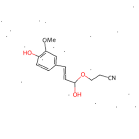 COc1cc(/C=C/C(O)OCCC#N)ccc1O